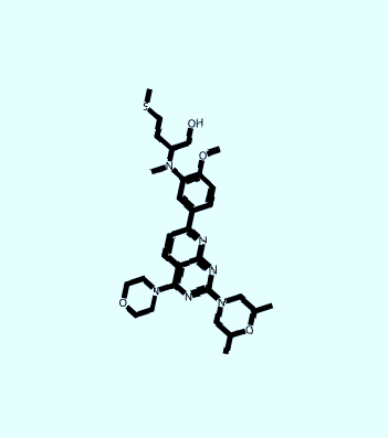 COc1ccc(-c2ccc3c(N4CCOCC4)nc(N4CC(C)OC(C)C4)nc3n2)cc1N(C)C(CO)CCSC